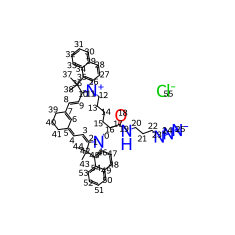 CN1C(=CC=C2C=C(C=CC3=[N+](CCCCCC(=O)NCCCN=[N+]=[N-])c4ccc5ccccc5c4C3(C)C)CCC2)C(C)(C)c2c1ccc1ccccc21.[Cl-]